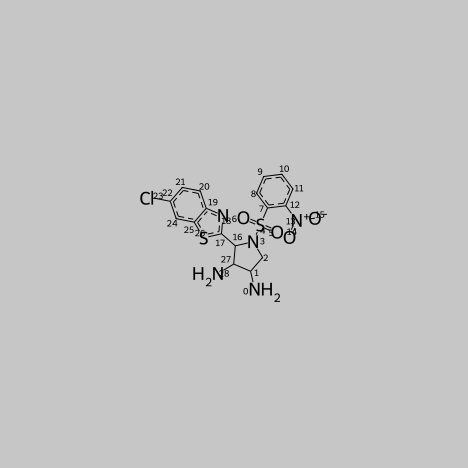 NC1CN(S(=O)(=O)c2ccccc2[N+](=O)[O-])C(c2nc3ccc(Cl)cc3s2)C1N